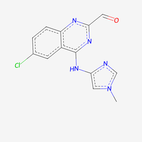 Cn1cnc(Nc2nc(C=O)nc3ccc(Cl)cc23)c1